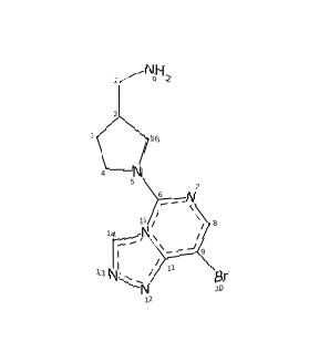 NCC1CCN(c2ncc(Br)c3nncn23)C1